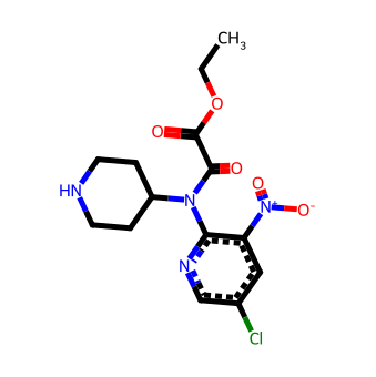 CCOC(=O)C(=O)N(c1ncc(Cl)cc1[N+](=O)[O-])C1CCNCC1